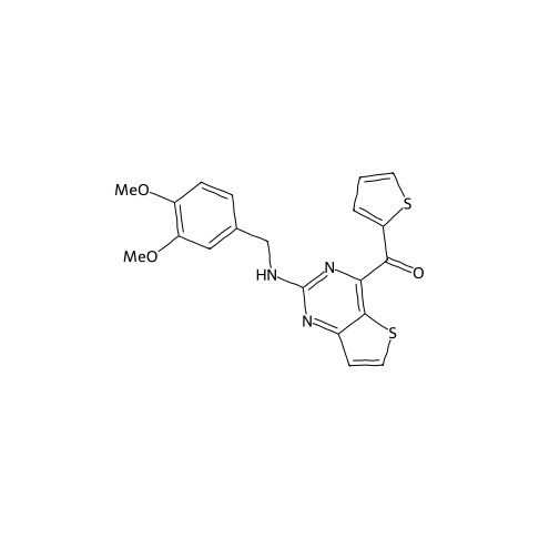 COc1ccc(CNc2nc(C(=O)c3cccs3)c3sccc3n2)cc1OC